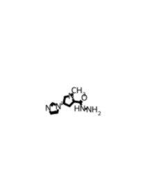 CN1C[C@@H](n2ccnc2)CC1C(=O)NN